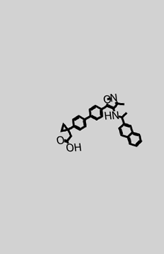 Cc1noc(-c2ccc(-c3ccc(C4(CC(=O)O)CC4)cc3)cc2)c1NC(C)c1ccc2ccccc2c1